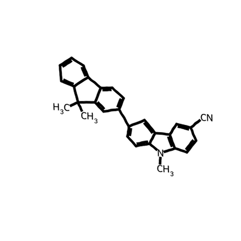 Cn1c2ccc(C#N)cc2c2cc(-c3ccc4c(c3)C(C)(C)c3ccccc3-4)ccc21